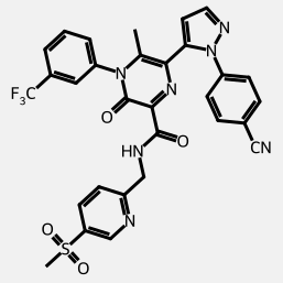 Cc1c(-c2ccnn2-c2ccc(C#N)cc2)nc(C(=O)NCc2ccc(S(C)(=O)=O)cn2)c(=O)n1-c1cccc(C(F)(F)F)c1